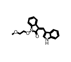 COCCON1C(=O)C(=Cc2c[nH]c3ccccc23)c2ccccc21